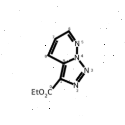 CCOC(=O)c1nnn2ncccc12